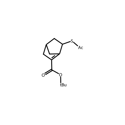 CC(=O)SC1CC2CC(C(=O)OC(C)(C)C)=C1C2